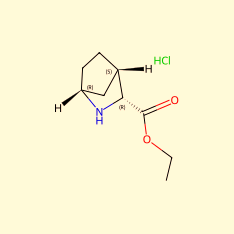 CCOC(=O)[C@@H]1N[C@@H]2CC[C@H]1C2.Cl